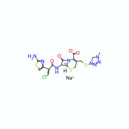 CN1CN(SCC2=C(C(=O)[O-])N3C(=O)C(NC(=O)C(=CCl)c4csc(N)n4)[C@@H]3SC2)N=N1.[Na+]